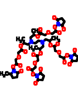 C=C1CCC(=O)N1OC(=O)COCC(=O)OC(C)CN(CCN(CC(C)OC(=O)COCC(=O)ON1C(=O)CCC1=O)CC(C)OC(=O)COCC(=O)ON1C(=O)CCC1=O)CC(C)OC(=O)COCC(=O)ON1C(=O)CCC1=O